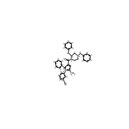 Cc1cc(C(=O)N2CCN(Cc3ccccc3)CC2Cc2ccccc2)c(-c2ccccc2)n1-c1cccc(Br)c1